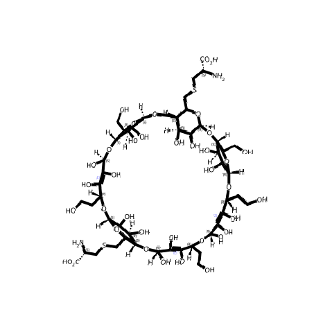 N[C@H](CSCC1O[C@H]2O[C@@H]3C(CO)O[C@H](O[C@H](CCO)/C(O)=C(/O)[C@H](O)O[C@H](CCO)/C(O)=C(\O)[C@H](O)O[C@@H]4C(CSC[C@@H](N)C(=O)O)O[C@H](O[C@H](CCO)/C(O)=C(\O)[C@@H](O)O[C@@H]5C(CO)O[C@@H](O[C@H]1[C@H](O)C2O)C(O)[C@H]5O)C(O)[C@H]4O)C(O)[C@H]3O)C(=O)O